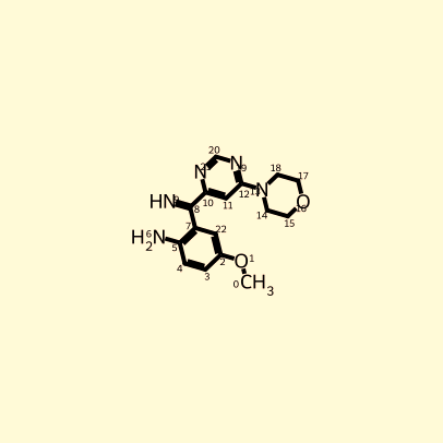 COc1ccc(N)c(C(=N)c2cc(N3CCOCC3)ncn2)c1